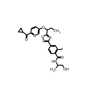 CCC(Oc1ccc(C(=O)C2CC2)nc1)c1nc(-c2ccc(C(=O)NC(C)CO)c(F)c2)no1